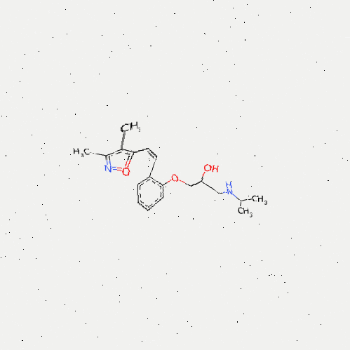 Cc1noc(/C=C\c2ccccc2OCC(O)CNC(C)C)c1C